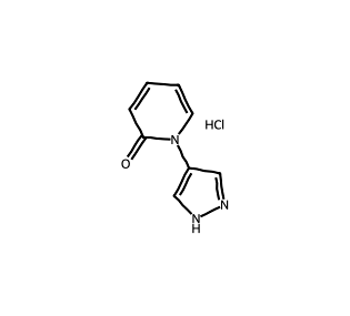 Cl.O=c1ccccn1-c1cn[nH]c1